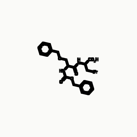 CC(C)CC(NC(=O)C(COCc1ccccc1)NC(=O)OCc1ccccc1)C(=O)O